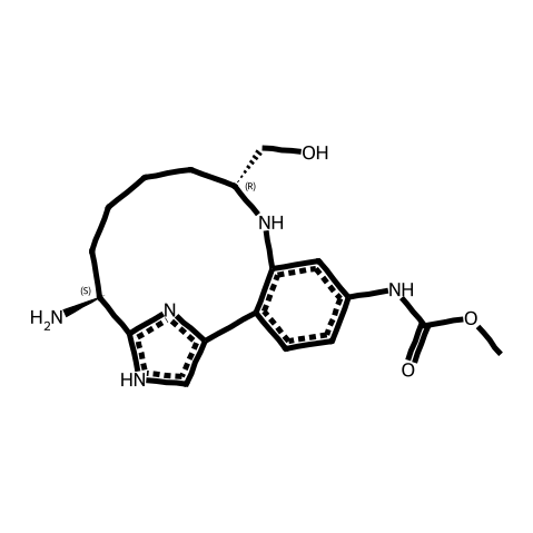 COC(=O)Nc1ccc2c(c1)N[C@@H](CO)CCCC[C@H](N)c1nc-2c[nH]1